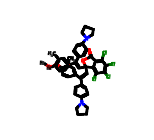 CCOc1ccc(C(=CC2(C=C(c3ccc(N4CCCC4)cc3)c3ccc(OCC)c(C)c3)OC(=O)c3c(Cl)c(Cl)c(Cl)c(Cl)c32)c2ccc(N3CCCC3)cc2)cc1C